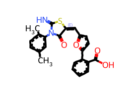 Cc1ccc(C)c(N2C(=N)S/C(=C/c3ccc(-c4ccccc4C(=O)O)o3)C2=O)c1